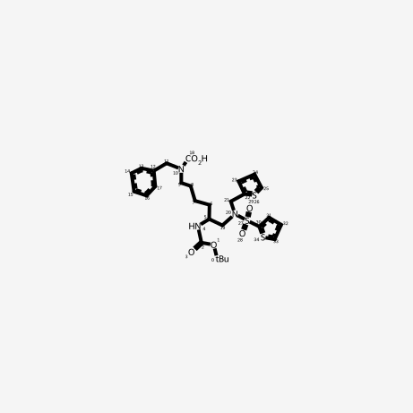 CC(C)(C)OC(=O)NC(CCCCN(Cc1ccccc1)C(=O)O)CN(Cc1cccs1)S(=O)(=O)c1cccs1